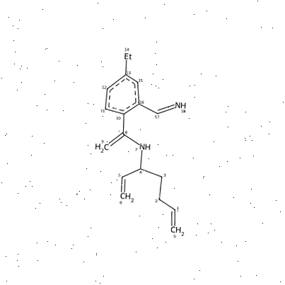 C=CCCC(C=C)NC(=C)c1ccc(CC)cc1C=N